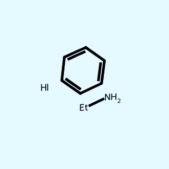 CCN.I.c1ccccc1